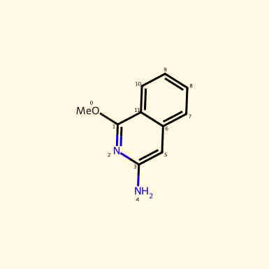 COc1nc(N)cc2ccccc12